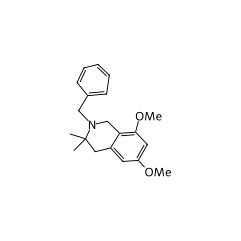 COc1cc2c(c(OC)c1)CN(Cc1ccccc1)C(C)(C)C2